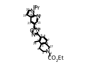 CCOC(=O)CN1CCc2c(ccc(-c3noc(-c4cnc5c(ccn5C(C)C)c4)n3)c2C)C1